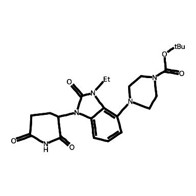 CCn1c(=O)n(C2CCC(=O)NC2=O)c2cccc(N3CCN(C(=O)OC(C)(C)C)CC3)c21